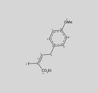 CCOC(=O)/C(F)=C\Cc1ccc(OC)cc1